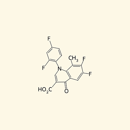 Cc1c(F)c(F)cc2c(=O)c(C(=O)O)cn(-c3ccc(F)cc3F)c12